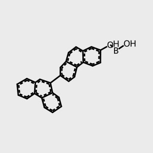 OBOc1ccc2c(ccc3cc(-c4cc5ccccc5c5ccccc45)ccc32)c1